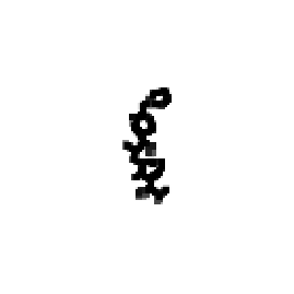 Cc1c(CC(C)C(=O)c2ccc(CN3CCCC3)nc2)cncc1C(=O)C(C)C